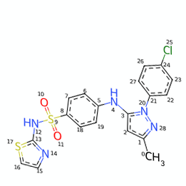 Cc1cc(Nc2ccc(S(=O)(=O)Nc3nccs3)cc2)n(-c2ccc(Cl)cc2)n1